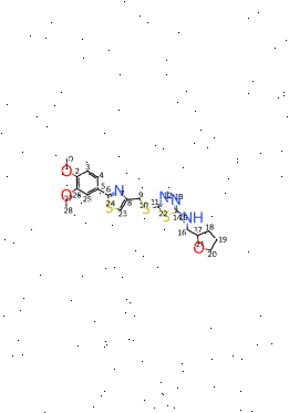 COc1ccc(-c2nc(CSc3nnc(NCC4CCCO4)s3)cs2)cc1OC